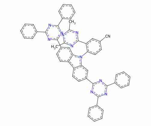 Cc1nc(C)nc(-c2cc(C#N)ccc2-n2c3cc(-c4nc(-c5ccccc5)nc(-c5ccccc5)n4)ccc3c3ccc(-c4nc(-c5ccccc5)nc(-c5ccccc5)n4)cc32)n1